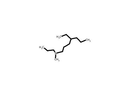 CCCC(CC)CCCN(C)CCC